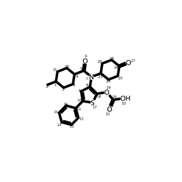 CC1CCC(C(=O)N(c2cc(-c3ccccc3)sc2OC(=O)O)C2CCC(=O)CC2)CC1